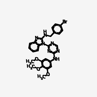 COc1cc(Nc2ncnc(-n3c(NCc4ccc(Br)cc4)nc4ccccc43)n2)cc(OC)c1OC